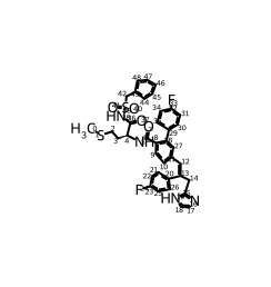 CSCC[C@H](NC(=O)c1ccc(C=C(Cc2ncc[nH]2)c2ccc(F)cc2)cc1-c1ccc(F)cc1)C(=O)NS(=O)(=O)Cc1ccccc1